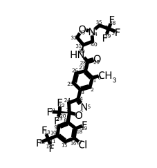 Cc1cc(C2=NO[C@@](c3cc(C(F)(F)F)cc(Cl)c3F)(C(F)(F)F)C2)ccc1C(=O)N[C@H]1CON(CC(F)(F)F)C1